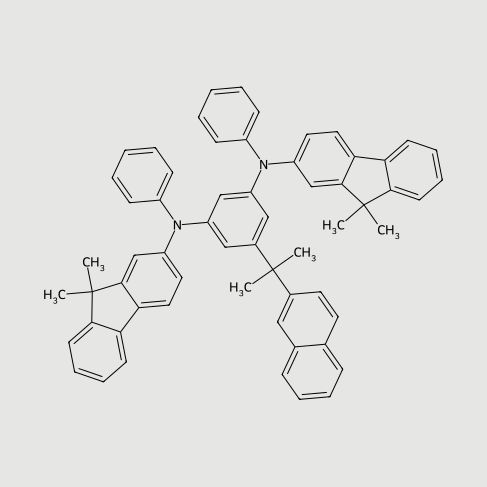 CC(C)(c1cc(N(c2ccccc2)c2ccc3c(c2)C(C)(C)c2ccccc2-3)cc(N(c2ccccc2)c2ccc3c(c2)C(C)(C)c2ccccc2-3)c1)c1ccc2ccccc2c1